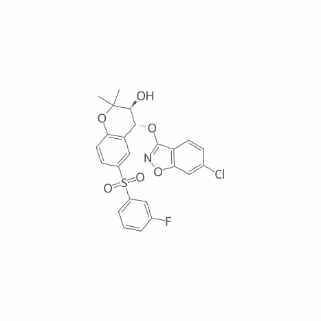 CC1(C)Oc2ccc(S(=O)(=O)c3cccc(F)c3)cc2[C@@H](Oc2noc3cc(Cl)ccc23)[C@@H]1O